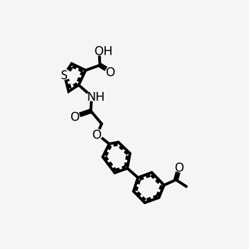 CC(=O)c1cccc(-c2ccc(OCC(=O)Nc3cscc3C(=O)O)cc2)c1